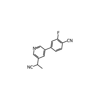 CC(C#N)c1cncc(-c2ccc(C#N)c(F)c2)c1